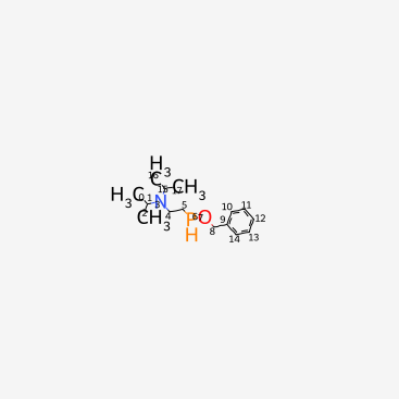 CC(C)N(CCPOCc1ccccc1)C(C)C